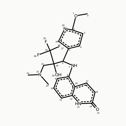 COc1ccc(C(Nc2cccc3[nH]c(=O)ccc23)C(O)(CN(C)C)C(F)(F)F)cn1